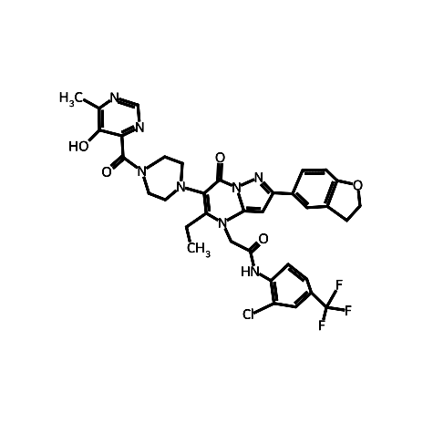 CCc1c(N2CCN(C(=O)c3ncnc(C)c3O)CC2)c(=O)n2nc(-c3ccc4c(c3)CCO4)cc2n1CC(=O)Nc1ccc(C(F)(F)F)cc1Cl